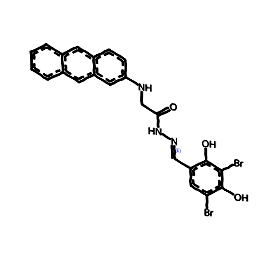 O=C(CNc1ccc2cc3ccccc3cc2c1)N/N=C/c1cc(Br)c(O)c(Br)c1O